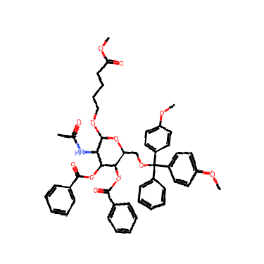 COC(=O)CCCCOC1OC(COC(c2ccccc2)(c2ccc(OC)cc2)c2ccc(OC)cc2)C(OC(=O)c2ccccc2)C(OC(=O)c2ccccc2)C1NC(C)=O